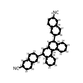 [C-]#[N+]c1ccc2cc(-c3cc4cc(-c5ccc6cc(C#N)ccc6c5)c5ccccc5c4c4ccccc34)ccc2c1